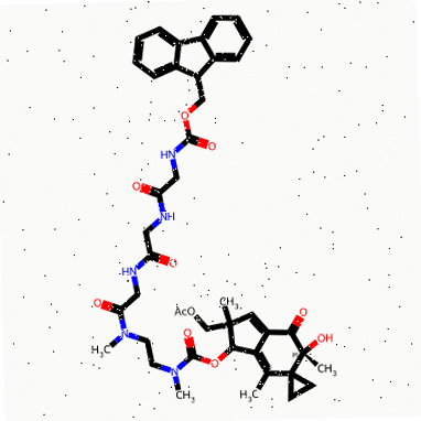 CC(=O)OCC1(C)C=C2C(=O)[C@](C)(O)C3(CC3)C(C)=C2C1OC(=O)N(C)CCN(C)C(=O)CNC(=O)CNC(=O)CNC(=O)OCC1c2ccccc2-c2ccccc21